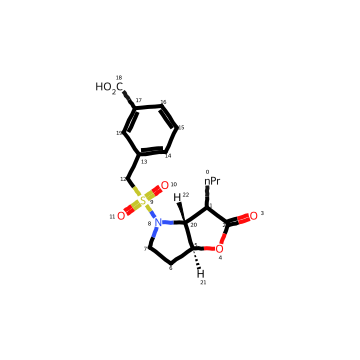 CCCC1C(=O)O[C@H]2CCN(S(=O)(=O)Cc3cccc(C(=O)O)c3)[C@H]12